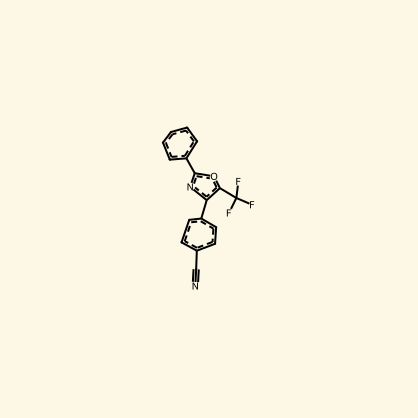 N#Cc1ccc(-c2nc(-c3ccccc3)oc2C(F)(F)F)cc1